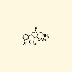 COc1cc(-c2cccc(Br)c2C)cc(F)c1CN